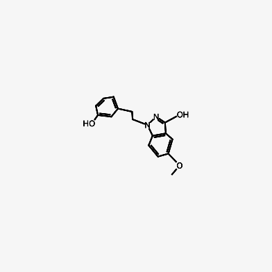 COc1ccc2c(c1)c(O)nn2CCc1cccc(O)c1